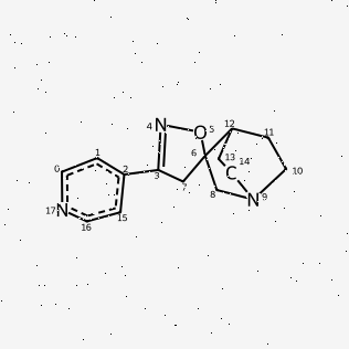 c1cc(C2=NOC3(C2)CN2CCC3CC2)ccn1